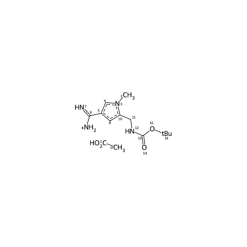 CC(=O)O.Cn1cc(C(=N)N)cc1CNC(=O)OC(C)(C)C